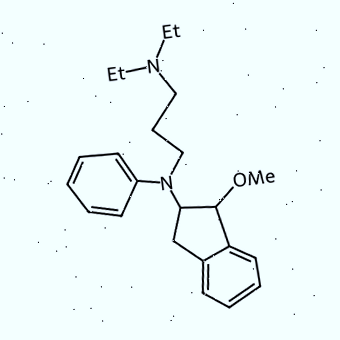 CCN(CC)CCCN(c1ccccc1)C1Cc2ccccc2C1OC